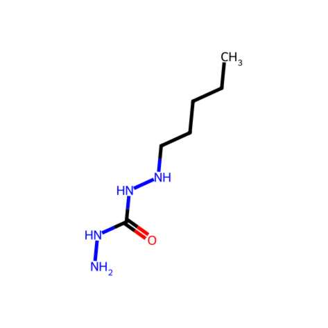 CCCCCNNC(=O)NN